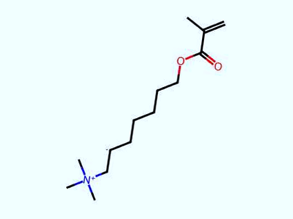 C=C(C)C(=O)OCCCCC[CH]C[N+](C)(C)C